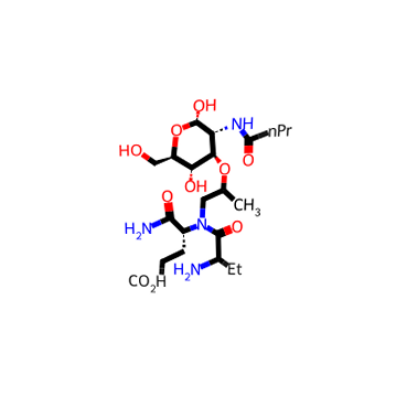 CCCC(=O)N[C@@H]1[C@@H](OC(C)CN(C(=O)C(N)CC)[C@H](CCC(=O)O)C(N)=O)[C@H](O)[C@@H](CO)O[C@@H]1O